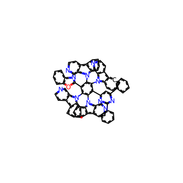 c1ccc(-c2cc(-c3c(-n4c5ccccc5c5ccncc54)c(-n4c5ccccc5c5ccncc54)c(-c4nc5ccccc5o4)c(-n4c5ccccc5c5ccncc54)c3-n3c4ccccc4c4ccncc43)nc(-c3ccccc3)n2)cc1